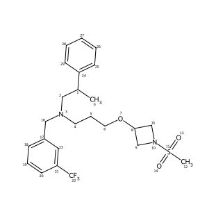 CC(CN(CCCOC1CN(S(C)(=O)=O)C1)Cc1cccc(C(F)(F)F)c1)c1ccccc1